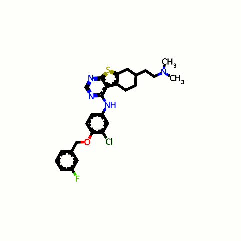 CN(C)CCC1CCc2c(sc3ncnc(Nc4ccc(OCc5cccc(F)c5)c(Cl)c4)c23)C1